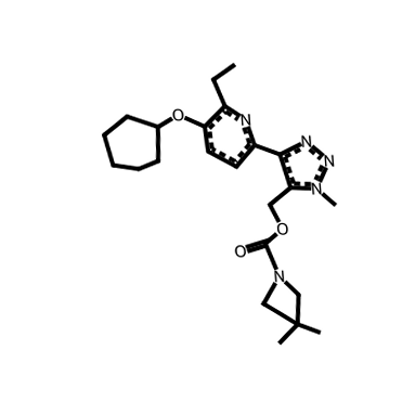 CCc1nc(-c2nnn(C)c2COC(=O)N2CC(C)(C)C2)ccc1OC1CCCCC1